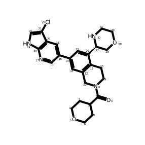 O=C(C1CCOCC1)N1CCc2c(cc(-c3cnc4[nH]cc(Cl)c4c3)cc2[C@@H]2COCCN2)C1